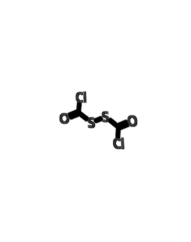 O=C(Cl)SSC(=O)Cl